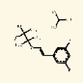 CC(C)(O)C(C)(C)O/C=C/c1cc(F)cc(F)c1.OB(O)O